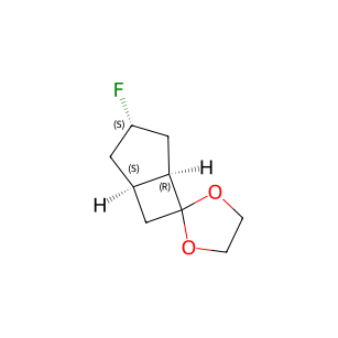 F[C@H]1C[C@@H]2CC3(OCCO3)[C@@H]2C1